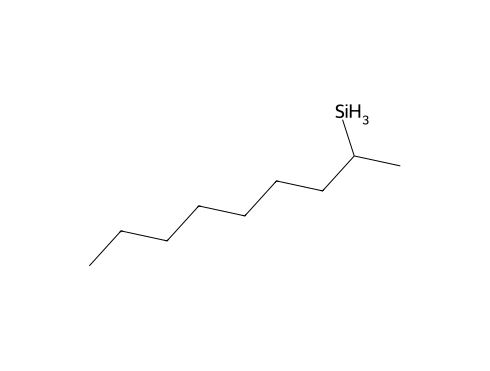 CCCCCCCC(C)[SiH3]